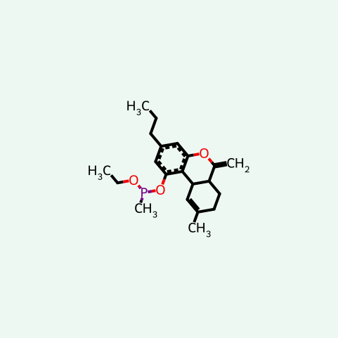 C=C1Oc2cc(CCC)cc(OP(C)OCC)c2C2C=C(C)CCC12